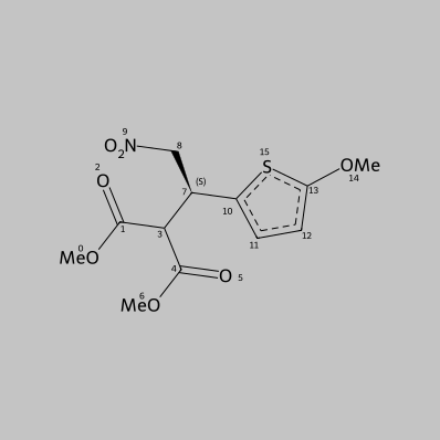 COC(=O)C(C(=O)OC)[C@@H](C[N+](=O)[O-])c1ccc(OC)s1